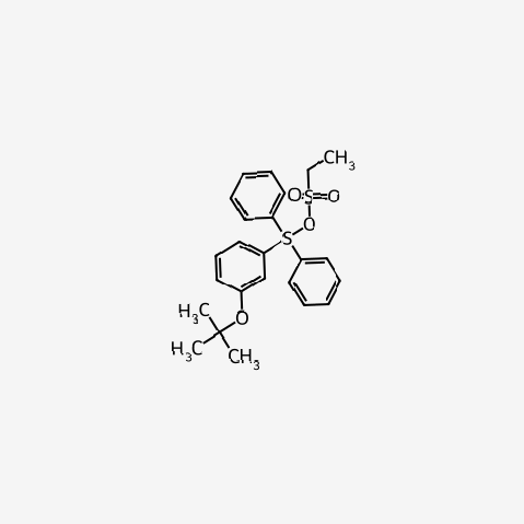 CCS(=O)(=O)OS(c1ccccc1)(c1ccccc1)c1cccc(OC(C)(C)C)c1